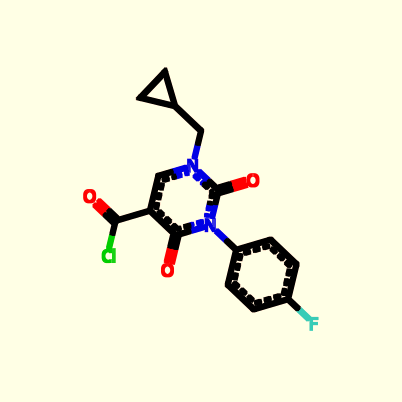 O=C(Cl)c1cn(CC2CC2)c(=O)n(-c2ccc(F)cc2)c1=O